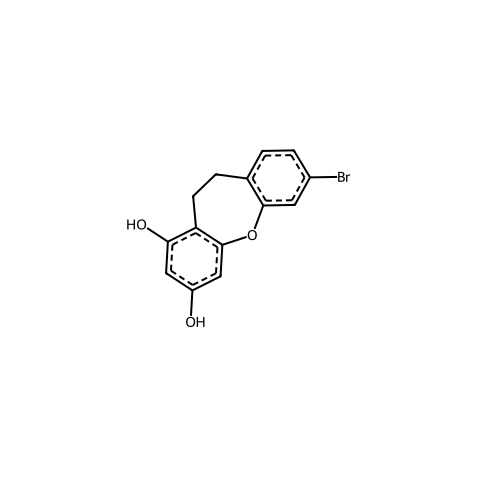 Oc1cc(O)c2c(c1)Oc1cc(Br)ccc1CC2